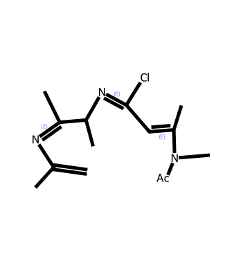 C=C(C)/N=C(/C)C(C)/N=C(Cl)\C=C(/C)N(C)C(C)=O